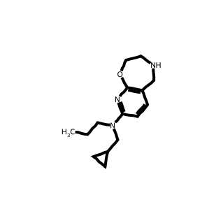 CCCN(CC1CC1)c1ccc2c(n1)OCCNC2